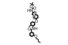 CCCCOc1cccc(C(=O)Nc2cc(Oc3ccc4nc(NC(=O)OC(C)(C)C)cn4n3)ccc2C)c1